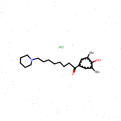 CC(C)(C)c1cc(C(=O)CCCCCCCN2CCCCC2)cc(C(C)(C)C)c1O.Cl